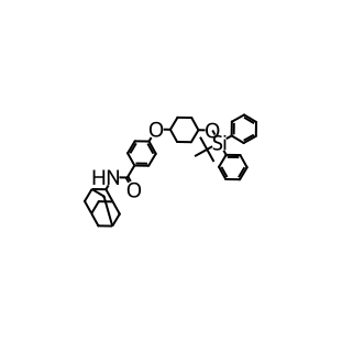 CC(C)(C)[Si](OC1CCC(Oc2ccc(C(=O)NC3C4CC5CC(C4)CC3C5)cc2)CC1)(c1ccccc1)c1ccccc1